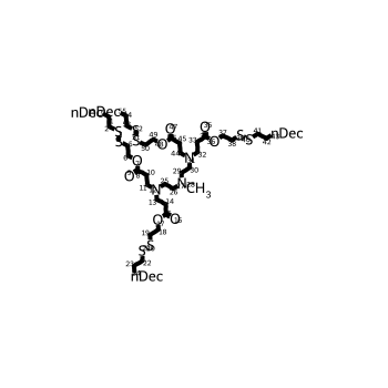 CCCCCCCCCCCCSSCCOC(=O)CCN(CCC(=O)OCCSSCCCCCCCCCCCC)CCN(C)CCN(CCC(=O)OCCSSCCCCCCCCCCCC)CCC(=O)OCCSSCCCCCCCCCCCC